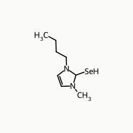 CCCCN1C=CN(C)C1[SeH]